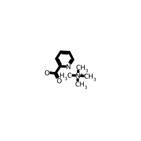 C[N+](C)(C)C.O=C([O-])c1ccccn1